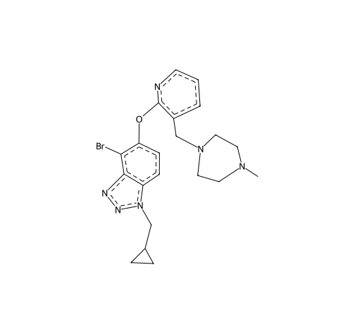 CN1CCN(Cc2cccnc2Oc2ccc3c(nnn3CC3CC3)c2Br)CC1